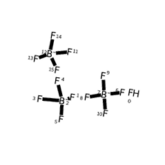 F.F[B-](F)(F)F.F[B-](F)(F)F.F[B-](F)(F)F